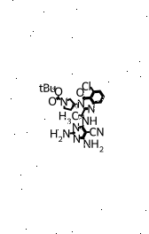 C[C@H](Nc1nc(N)nc(N)c1C#N)c1nc2cccc(Cl)c2c(=O)n1[C@@H]1CCN(C(=O)OC(C)(C)C)C1